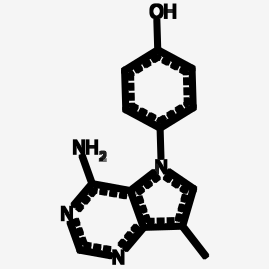 Cc1cn(-c2ccc(O)cc2)c2c(N)ncnc12